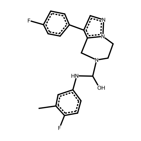 Cc1cc(NC(O)N2CCn3ncc(-c4ccc(F)cc4)c3C2)ccc1F